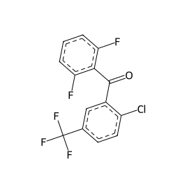 O=C(c1cc(C(F)(F)F)ccc1Cl)c1c(F)cccc1F